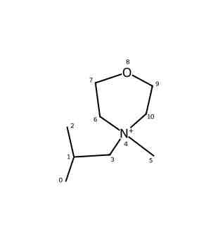 CC(C)C[N+]1(C)CCOCC1